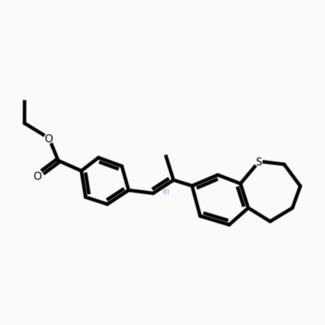 CCOC(=O)c1ccc(/C=C(\C)c2ccc3c(c2)SCCCC3)cc1